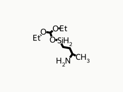 CCOC(OCC)O[SiH2]CCC(C)N